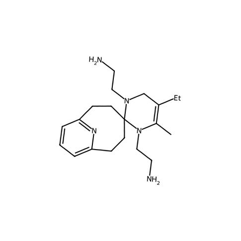 CCC1=C(C)N(CCN)C2(CCc3cccc(n3)CC2)N(CCN)C1